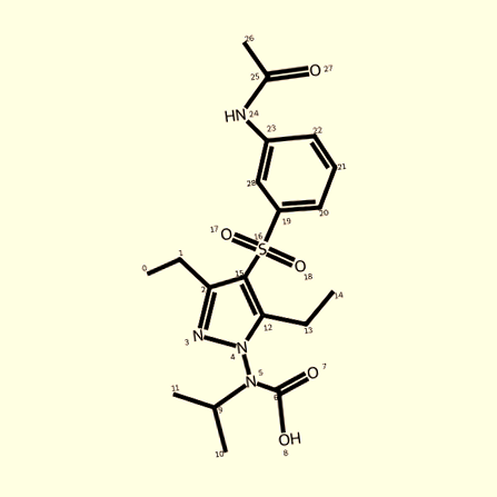 CCc1nn(N(C(=O)O)C(C)C)c(CC)c1S(=O)(=O)c1cccc(NC(C)=O)c1